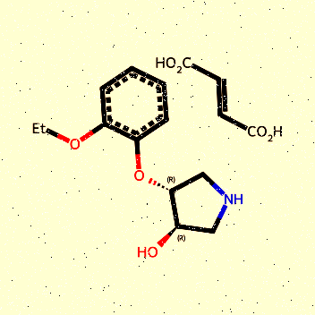 CCOc1ccccc1O[C@@H]1CNC[C@H]1O.O=C(O)C=CC(=O)O